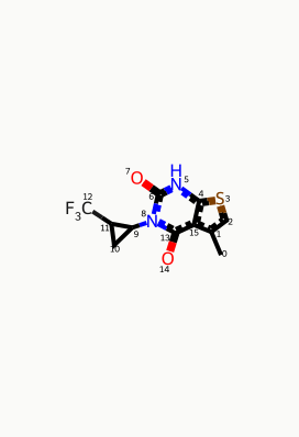 Cc1csc2[nH]c(=O)n(C3CC3C(F)(F)F)c(=O)c12